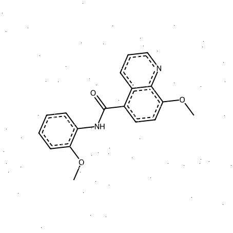 COc1ccccc1NC(=O)c1ccc(OC)c2ncccc12